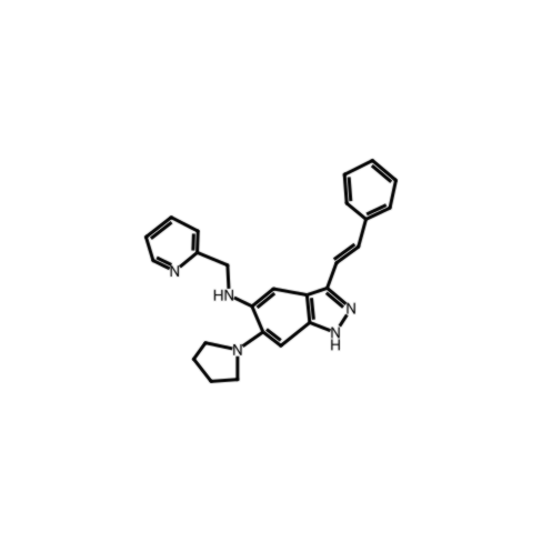 C(=Cc1n[nH]c2cc(N3CCCC3)c(NCc3ccccn3)cc12)c1ccccc1